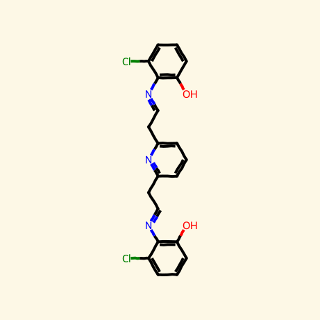 Oc1cccc(Cl)c1N=CCc1cccc(CC=Nc2c(O)cccc2Cl)n1